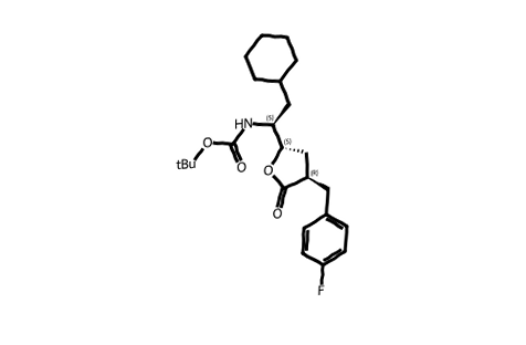 CC(C)(C)OC(=O)N[C@@H](CC1CCCCC1)[C@@H]1C[C@@H](Cc2ccc(F)cc2)C(=O)O1